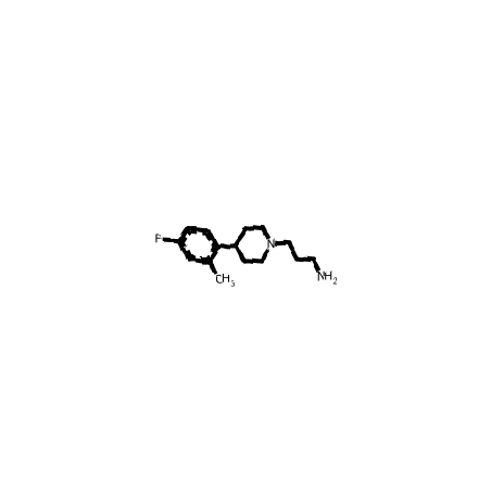 Cc1cc(F)ccc1C1CCN(CCCN)CC1